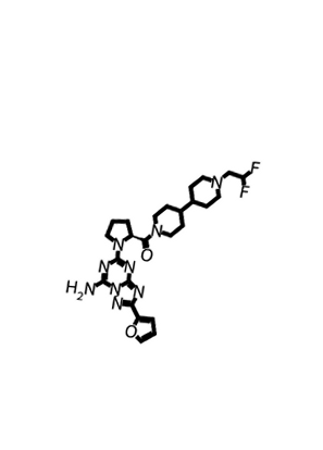 Nc1nc(N2CCC[C@H]2C(=O)N2CCC(C3CCN(CC(F)F)CC3)CC2)nc2nc(-c3ccco3)nn12